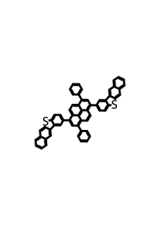 c1ccc(-c2cc(-c3ccc4sc5cc6ccccc6cc5c4c3)c3ccc4c(-c5ccccc5)cc(-c5ccc6sc7cc8ccccc8cc7c6c5)c5ccc2c3c45)cc1